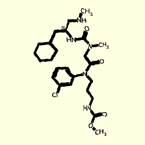 CNC[C@H](CC1CCCCC1)NC(=O)N(C)CC(=O)N(CCCNC(=O)OC)c1cccc(Cl)c1